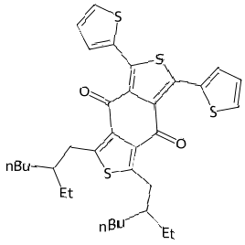 CCCCC(CC)Cc1sc(CC(CC)CCCC)c2c1C(=O)c1c(-c3cccs3)sc(-c3cccs3)c1C2=O